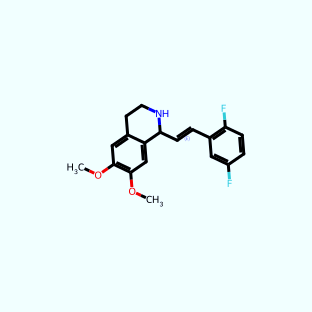 COc1cc2c(cc1OC)C(/C=C/c1cc(F)ccc1F)NCC2